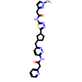 Cn1ccc(CC(=O)Nc2nnc(C3CCC(Cc4ccc(NC(=O)Cc5ccccn5)nn4)C3)s2)n1